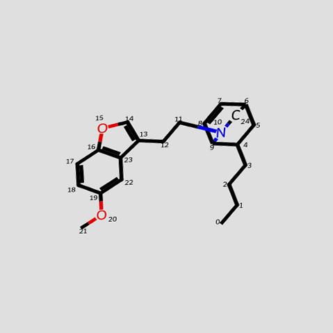 CCCCC1CC2C=CC1N(CCc1coc3ccc(OC)cc13)C2